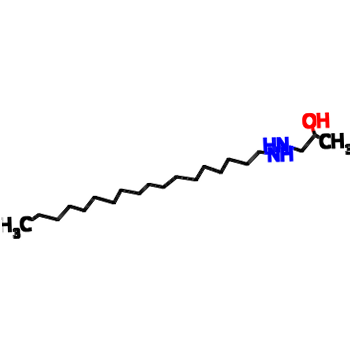 CCCCCCCCCCCCCCCCCCNNCC(C)O